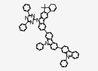 CC1(C)C2=C(C=CCC2)c2cc3c4cc(-c5ccc6c7cc(-c8ccc9c%10ccccc%10n(-c%10ccccc%10)c9c8)ccc7n(-c7ccccc7)c6c5)ccc4n(-c4nc(-c5ccccc5)nc(-c5ccccc5)n4)c3cc21